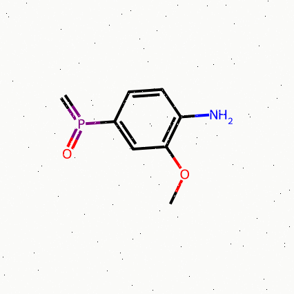 C=P(=O)c1ccc(N)c(OC)c1